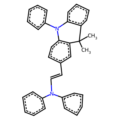 CC1(C)c2ccccc2N(c2ccccc2)c2ccc(/C=C/N(c3ccccc3)c3ccccc3)cc21